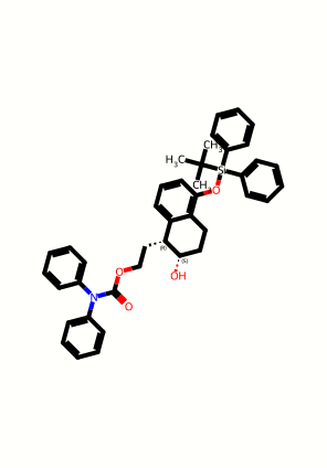 CC(C)(C)[Si](Oc1cccc2c1CC[C@H](O)[C@@H]2CCOC(=O)N(c1ccccc1)c1ccccc1)(c1ccccc1)c1ccccc1